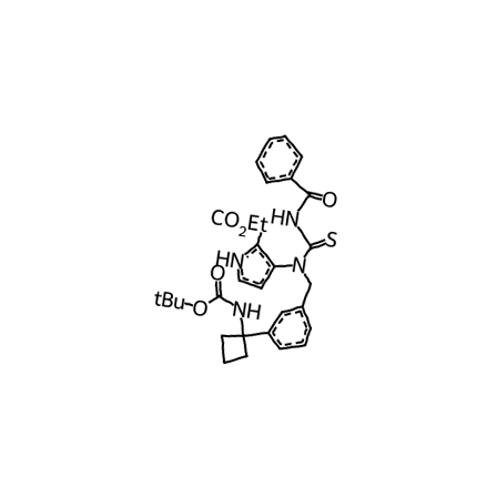 CCOC(=O)c1[nH]ccc1N(Cc1cccc(C2(NC(=O)OC(C)(C)C)CCC2)c1)C(=S)NC(=O)c1ccccc1